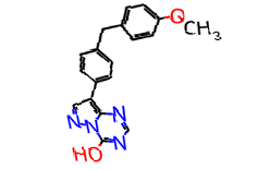 COc1ccc(Cc2ccc(-c3cnn4c(O)ncnc34)cc2)cc1